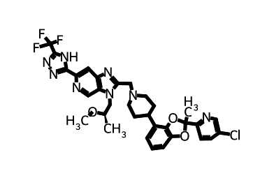 CO[C@H](C)Cn1c(CN2CCC(c3cccc4c3OC(C)(c3ccc(Cl)cn3)O4)CC2)nc2cc(-c3nnc(C(F)(F)F)[nH]3)ncc21